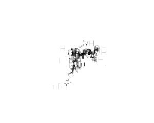 CCCCc1ccc(-c2ccc(C(=O)N[C@H](CO)C(=O)N[C@H](N)C(=O)NCC(=O)N(C)[C@@H](CCCCN)C(=O)N[C@@H](N)C(=O)NC(CC(N)=O)C(=O)NCB(O)O)cc2)cc1